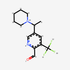 CC(c1cnc(C=O)c(C(F)(F)F)c1)N1CCCCC1